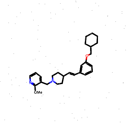 COc1ncccc1CN1CCC(C=Cc2cccc(OCC3CCCCC3)c2)CC1